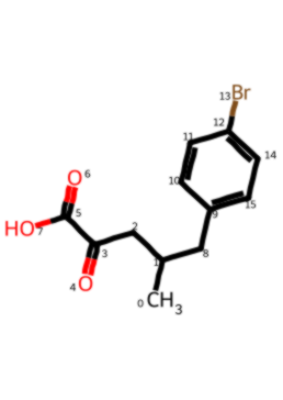 CC(CC(=O)C(=O)O)Cc1ccc(Br)cc1